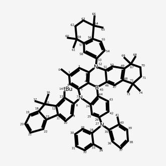 Cc1cc2c3c(c1)N(c1ccc4c(c1C(C)(C)C)C(C)(C)c1ccccc1-4)c1cc(N(c4ccccc4C)c4ccccc4C)ccc1B3c1cc3c(cc1N2c1ccc2c(c1)C(C)(C)CCC2(C)C)C(C)(C)CCC3(C)C